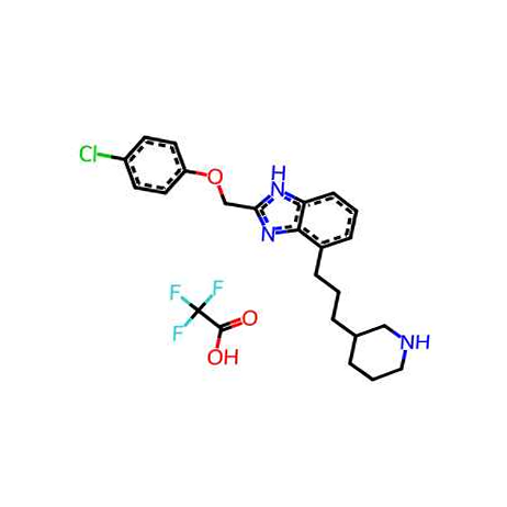 Clc1ccc(OCc2nc3c(CCCC4CCCNC4)cccc3[nH]2)cc1.O=C(O)C(F)(F)F